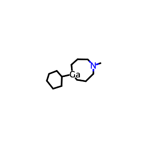 CN1CC[CH2][Ga]([CH]2CCCCC2)[CH2]CC1